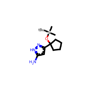 CC(C)(C)[Si](C)(C)OC1(c2cc(N)[nH]n2)CCCC1